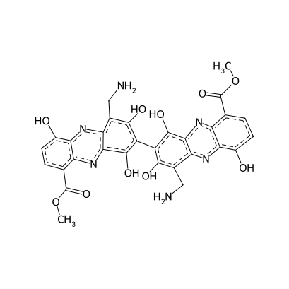 COC(=O)c1ccc(O)c2nc3c(CN)c(O)c(-c4c(O)c(CN)c5nc6c(O)ccc(C(=O)OC)c6nc5c4O)c(O)c3nc12